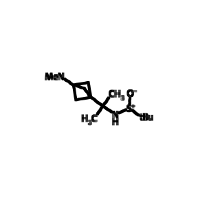 CNC12CC(C(C)(C)N[S+]([O-])C(C)(C)C)(C1)C2